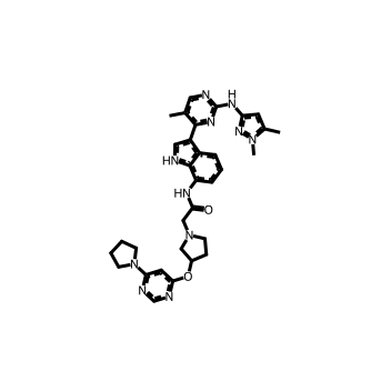 Cc1cnc(Nc2cc(C)n(C)n2)nc1-c1c[nH]c2c(NC(=O)CN3CCC(Oc4cc(N5CCCC5)ncn4)C3)cccc12